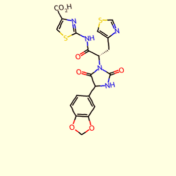 O=C(O)c1csc(NC(=O)[C@H](Cc2cscn2)N2C(=O)NC(c3ccc4c(c3)OCO4)C2=O)n1